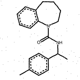 Cc1ccc(C(C)NC(=O)N2CCCCc3ccccc32)cc1